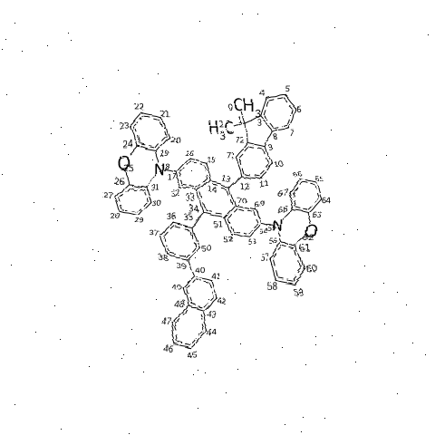 CC1(C)c2ccccc2-c2ccc(-c3c4ccc(N5c6ccccc6Oc6ccccc65)cc4c(-c4cccc(-c5ccc6ccccc6c5)c4)c4ccc(N5c6ccccc6Oc6ccccc65)cc34)cc21